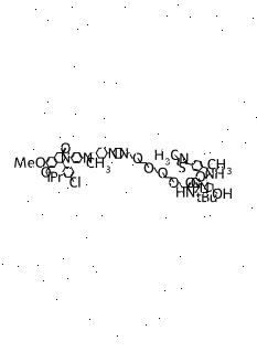 COc1cc2c(cc1OC(C)C)[C@H](c1ccc(Cl)cc1)N(c1ccc(N(C)C[C@H]3CC[C@H](N4CCN(CCOCCOCCOCCOCCC(=O)N[C@H](C(=O)N5C[C@H](O)C[C@H]5C(=O)N[C@@H](C)c5ccc(-c6nc(C)cs6)cc5)C(C)(C)C)CC4)CC3)cc1)C(=O)C2